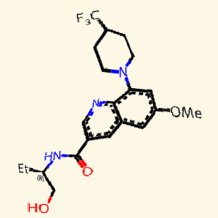 CC[C@H](CO)NC(=O)c1cnc2c(N3CCC(C(F)(F)F)CC3)cc(OC)cc2c1